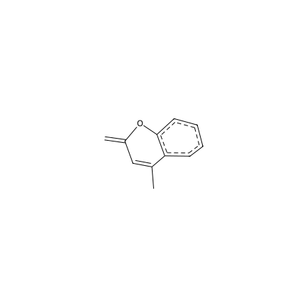 C=C1C=C(C)c2ccccc2O1